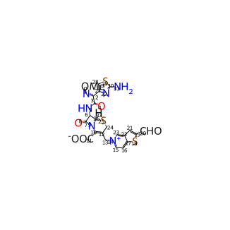 CON=C(C(=O)NC1C(=O)N2C(C(=O)[O-])=C(C[n+]3ccc4sc(C=O)cc4c3)CS[C@@H]12)c1csc(N)n1